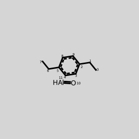 CCc1ccc(CC)cc1.[O]=[AlH]